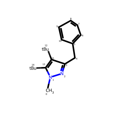 Cn1nc(Cc2ccccc2)c(C(C)(C)C)c1C(C)(C)C